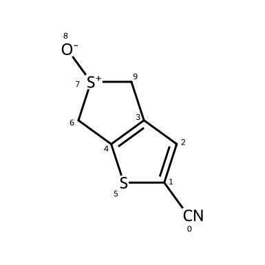 N#Cc1cc2c(s1)C[S+]([O-])C2